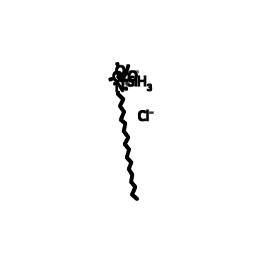 CCCCCCCCCCCCCCCCCC[N+](C)(C)C([SiH3])(OC)C(C)(OC)OC.[Cl-]